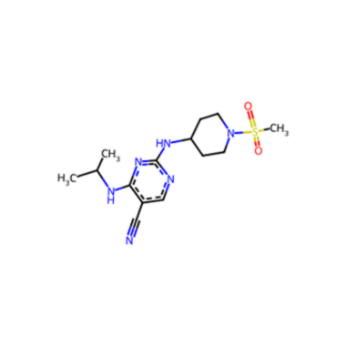 CC(C)Nc1nc(NC2CCN(S(C)(=O)=O)CC2)ncc1C#N